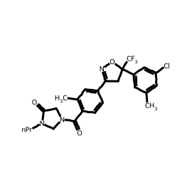 CCCN1CN(C(=O)c2ccc(C3=NOC(c4cc(C)cc(Cl)c4)(C(F)(F)F)C3)cc2C)CC1=O